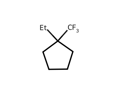 CCC1(C(F)(F)F)CCCC1